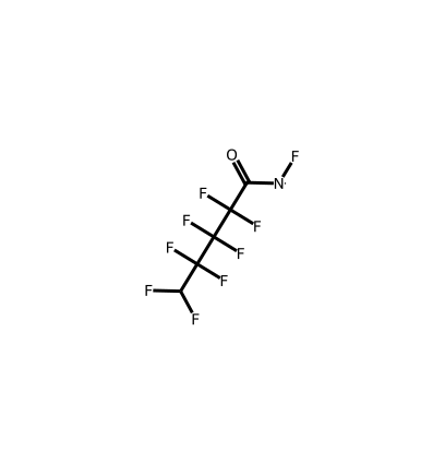 O=C([N]F)C(F)(F)C(F)(F)C(F)(F)C(F)F